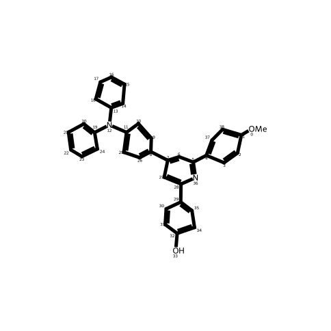 COc1ccc(-c2cc(-c3ccc(N(c4ccccc4)c4ccccc4)cc3)cc(-c3ccc(O)cc3)n2)cc1